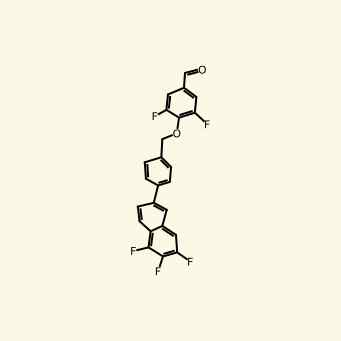 O=Cc1cc(F)c(OCc2ccc(-c3ccc4c(F)c(F)c(F)cc4c3)cc2)c(F)c1